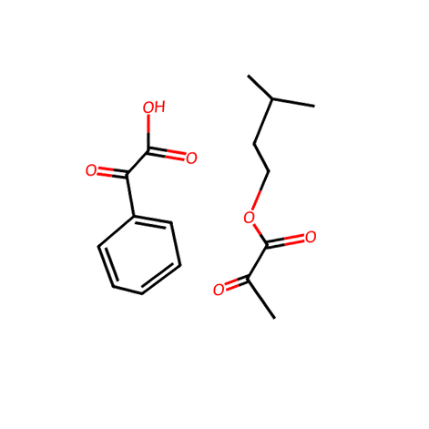 CC(=O)C(=O)OCCC(C)C.O=C(O)C(=O)c1ccccc1